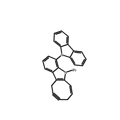 CC(C)n1c2c(c3cccc(-n4c5ccccc5c5ccccc54)c31)CC#CC/C=C\2